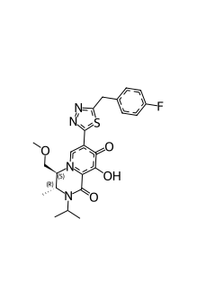 COC[C@@H]1[C@@H](C)N(C(C)C)C(=O)c2c(O)c(=O)c(-c3nnc(Cc4ccc(F)cc4)s3)cn21